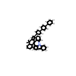 CC1(C)c2ccccc2C2(c3ccccc3-n3c4ccccc4c4cccc2c43)c2cc(-c3ccc(-c4ccc(-c5ccccc5)cc4)cc3)ccc21